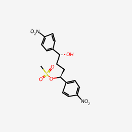 CS(=O)(=O)O[C@@H](CC[C@@H](O)c1ccc([N+](=O)[O-])cc1)c1ccc([N+](=O)[O-])cc1